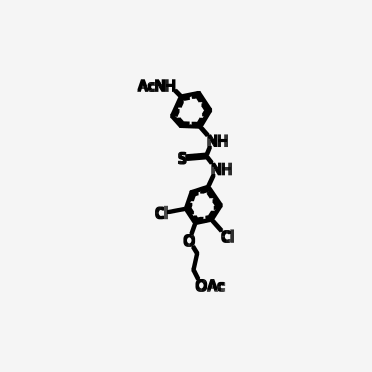 CC(=O)Nc1ccc(NC(=S)Nc2cc(Cl)c(OCCOC(C)=O)c(Cl)c2)cc1